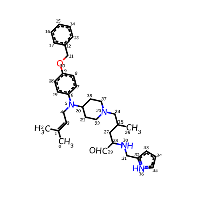 CC(C)=CCN(c1ccc(OCc2ccccc2)cc1)C1CCN(CC(C)CC(C=O)NCc2ccc[nH]2)CC1